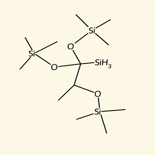 CC(O[Si](C)(C)C)C([SiH3])(O[Si](C)(C)C)O[Si](C)(C)C